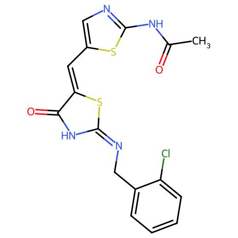 CC(=O)Nc1ncc(C=C2SC(=NCc3ccccc3Cl)NC2=O)s1